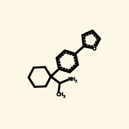 CC(N)C1(c2ccc(-c3ccco3)cc2)CCCCC1